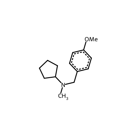 COc1ccc(CN(C)C2CCCC2)cc1